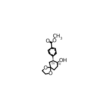 COC(=O)c1ccc([C@@H]2CC3(CC[C@@H]2O)OCCO3)cc1